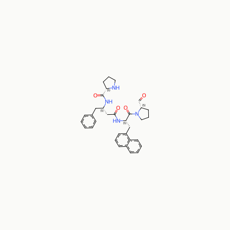 O=C[C@@H]1CCCN1C(=O)[C@H](Cc1cccc2ccccc12)NC(=O)C[C@H](Cc1ccccc1)NC(=O)[C@@H]1CCCN1